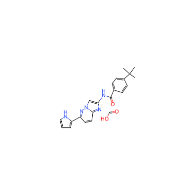 CC(C)(C)c1ccc(C(=O)Nc2cn3nc(-c4ccc[nH]4)ccc3n2)cc1.O=CO